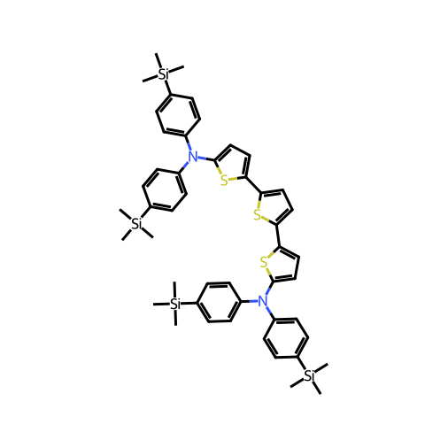 C[Si](C)(C)c1ccc(N(c2ccc([Si](C)(C)C)cc2)c2ccc(-c3ccc(-c4ccc(N(c5ccc([Si](C)(C)C)cc5)c5ccc([Si](C)(C)C)cc5)s4)s3)s2)cc1